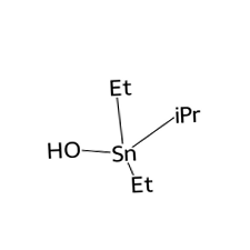 C[CH2][Sn]([OH])([CH2]C)[CH](C)C